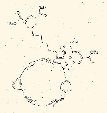 COC(=O)c1cc(OCCCCn2cc(C[C@]3(Oc4cc(C(=O)OC)cc(C(=O)OC)c4)c4ccc(cc4)C4=CCC(C=C4)c4cccc(n4)-c4ccc(cc4)-c4ccc(cc4)-c4ccc3cc4)nn2)cc(C(=O)OC)c1